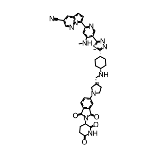 CNc1cc(-c2ccc3cc(C#N)cnn23)ncc1-c1nnc([C@H]2CC[C@H](NC[C@@H]3CCN(c4ccc5c(c4)C(=O)N(C4CCC(=O)NC4=O)C5=O)C3)CC2)s1